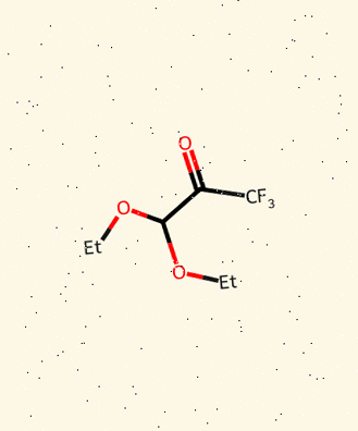 CCOC(OCC)C(=O)C(F)(F)F